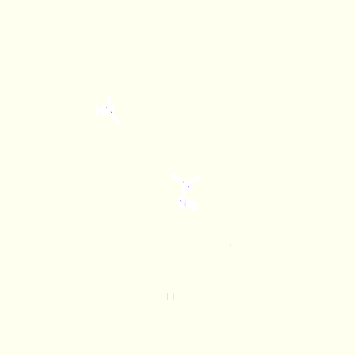 CCOC(=O)c1cc(-c2ccc(C)cc2)n(-c2ccc(NCC=O)cc2)n1